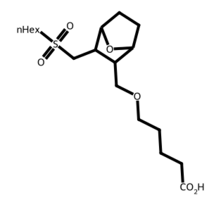 CCCCCCS(=O)(=O)CC1C2CCC(O2)C1COCCCCC(=O)O